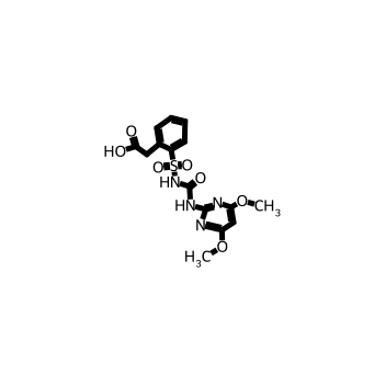 COc1cc(OC)nc(NC(=O)NS(=O)(=O)c2ccccc2CC(=O)O)n1